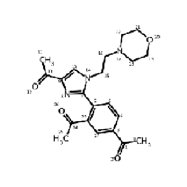 CC(=O)c1ccc(-c2nc(C(C)=O)cn2CCN2CCOCC2)c(C(C)=O)c1